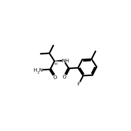 Cc1ccc(F)c(C(=O)N[C@@H](C(N)=O)C(C)C)c1